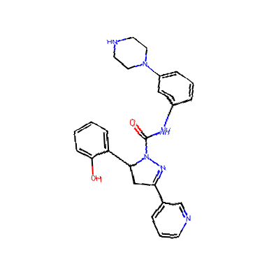 O=C(Nc1cccc(N2CCNCC2)c1)N1N=C(c2cccnc2)CC1c1ccccc1O